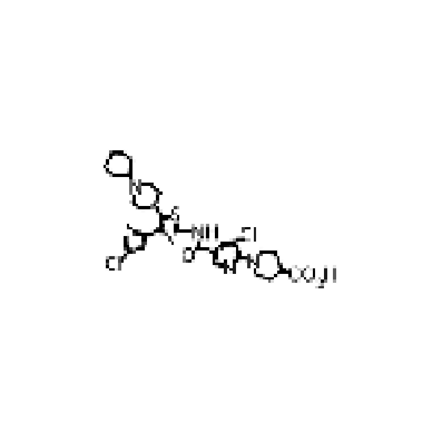 O=C(Nc1nc(-c2cc(Cl)cs2)c(C2CCN(C3CCCCC3)CC2)s1)c1cnc(N2CCC(C(=O)O)CC2)c(Cl)c1